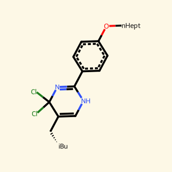 CCCCCCCOc1ccc(C2=NC(Cl)(Cl)C(C[C@@H](C)CC)=CN2)cc1